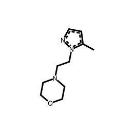 Cc1ccnn1CCN1CCOCC1